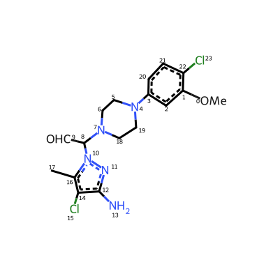 COc1cc(N2CCN(C(C=O)n3nc(N)c(Cl)c3C)CC2)ccc1Cl